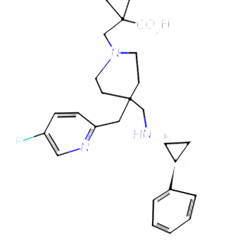 O=C(O)C1(CN2CCC(CN[C@@H]3C[C@H]3c3ccccc3)(Cc3ccc(F)cn3)CC2)CC1